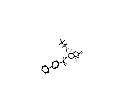 CC(C)(C)[Si](C)(C)OC[C@H]1[C@H]2CC(=O)O[C@H]2C[C@H]1OC(=O)c1ccc(-c2ccccc2)cc1